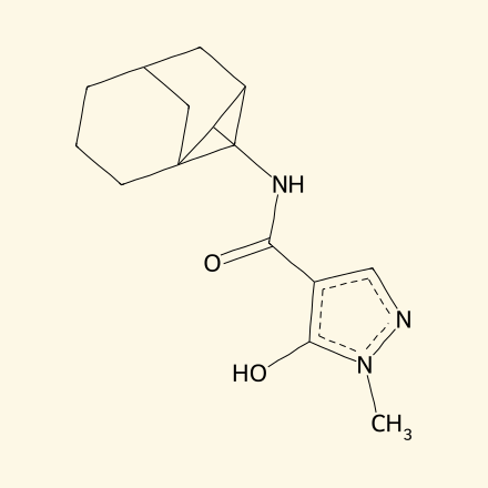 Cn1ncc(C(=O)NC2C3CC4CCCC2(C4)C3)c1O